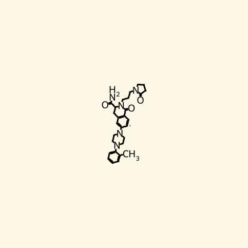 Cc1ccccc1N1CCN(c2[c]cc3c(c2)CC(C(N)=O)N(CCCN2CCCC2=O)C3=O)CC1